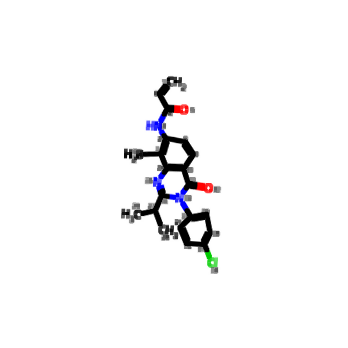 Bc1c(NC(=O)C=C)ccc2c(=O)n(-c3ccc(Cl)cc3)c(C(C)C)nc12